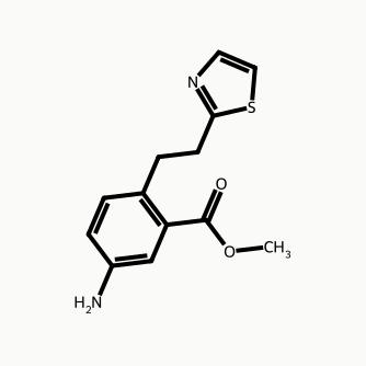 COC(=O)c1cc(N)ccc1CCc1nccs1